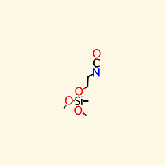 CO[Si](C)(OC)OCCN=C=O